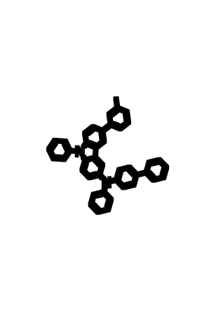 Cc1cccc(-c2ccc3c(c2)c2cc(N(c4ccccc4)c4ccc(-c5ccccc5)cc4)ccc2n3-c2ccccc2)c1